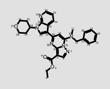 CCOC(=O)c1cnn2c(N(C)Cc3ccccc3)cc(-c3cn(C4CCOCC4)c4ncccc34)nc12